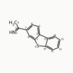 CC(=N)c1ccc2c(c1)sc1ccccc12